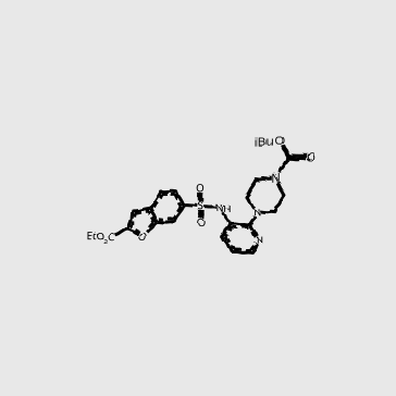 CCOC(=O)c1cc2ccc(S(=O)(=O)Nc3cccnc3N3CCN(C(=O)OCC(C)C)CC3)cc2o1